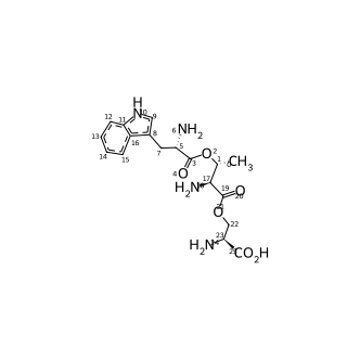 C[C@@H](OC(=O)[C@@H](N)Cc1c[nH]c2ccccc12)[C@H](N)C(=O)OC[C@H](N)C(=O)O